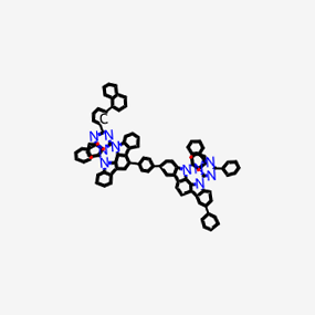 c1ccc(-c2ccc3c(c2)c2ccc4c5cc(-c6ccc(-c7cc8c9ccccc9n(-c9ccccc9)c8c8c7c7ccccc7n8-c7nc(-c8ccccc8)nc(-c8cccc(-c9cccc%10ccccc9%10)c8)n7)cc6)ccc5n(-c5ccccc5)c4c2n3-c2nc(-c3ccccc3)nc(-c3ccccc3)n2)cc1